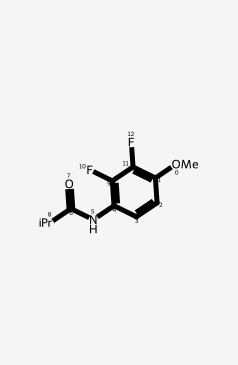 COc1ccc(NC(=O)C(C)C)c(F)c1F